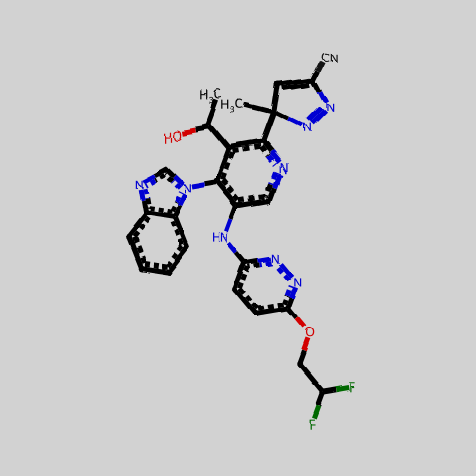 CC(O)c1c(C2(C)C=C(C#N)N=N2)ncc(Nc2ccc(OCC(F)F)nn2)c1-n1cnc2ccccc21